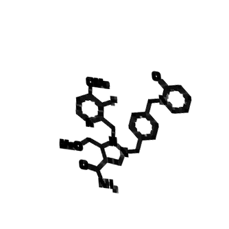 COCC1C(C(N)=O)=CN(Cc2ccc(Cn3ccccc3=O)cc2)N1Cc1nccc(OC)c1F